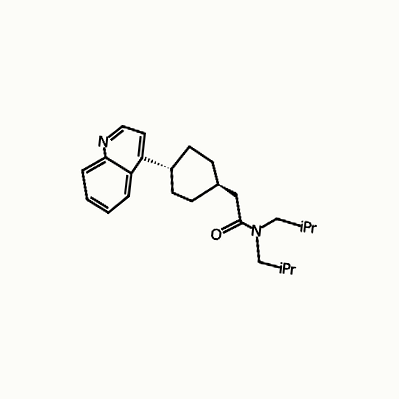 CC(C)CN(CC(C)C)C(=O)C[C@H]1CC[C@H](c2ccnc3ccccc32)CC1